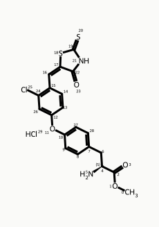 COC(=O)[C@@H](N)Cc1ccc(Oc2ccc(C=C3SC(=S)NC3=O)c(Cl)c2)cc1.Cl